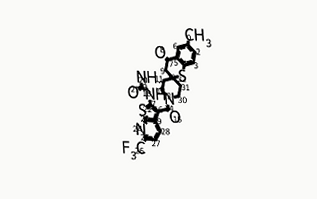 Cc1ccc2c(c1)C(=O)CC1(CCN(C(=O)c3c(NC(N)=O)sc4nc(C(F)(F)F)ccc34)CC1)S2